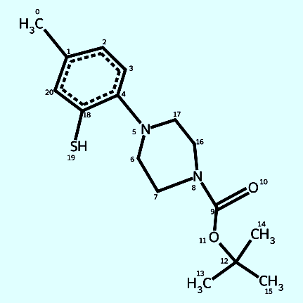 Cc1ccc(N2CCN(C(=O)OC(C)(C)C)CC2)c(S)c1